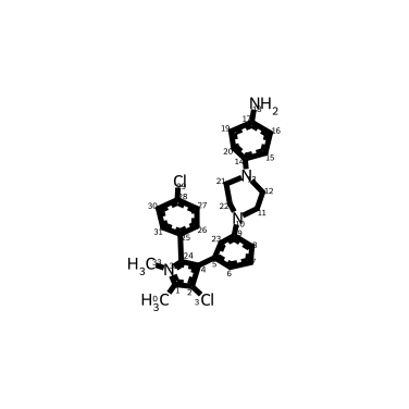 Cc1c(Cl)c(-c2cccc(N3CCN(c4ccc(N)cc4)CC3)c2)c(-c2ccc(Cl)cc2)n1C